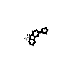 CC12C=CC=CC1c1cc(-c3ccccc3)ccc1N2